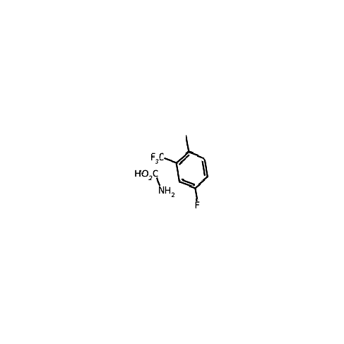 Cc1ccc(F)cc1C(F)(F)F.NC(=O)O